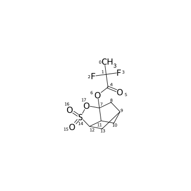 CC(F)(F)C(=O)OC12CC3CC1C(C3)S(=O)(=O)O2